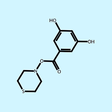 O=C(ON1CCSCC1)c1cc(O)cc(O)c1